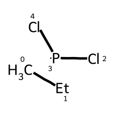 CCC.Cl[P]Cl